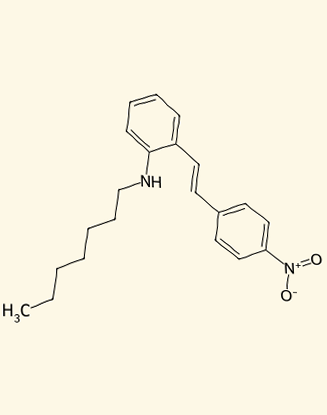 CCCCCCCNc1ccccc1C=Cc1ccc([N+](=O)[O-])cc1